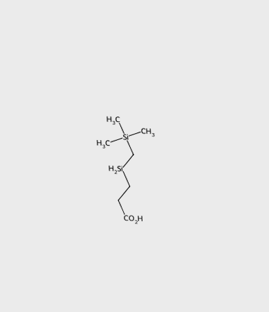 C[Si](C)(C)C[SiH2]CCC(=O)O